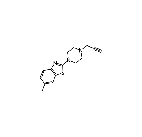 C#CCN1CCN(c2nc3ccc(C)cc3s2)CC1